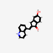 O=C1/C(=C/c2cccc3ncccc23)Cc2cc(O)ccc21